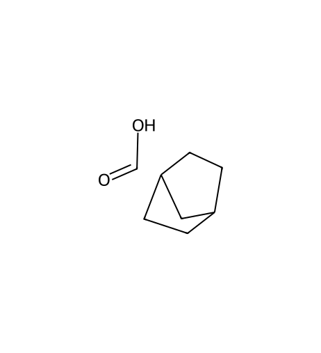 C1CC2CCC1C2.O=CO